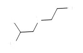 CC(Cl)COCCO